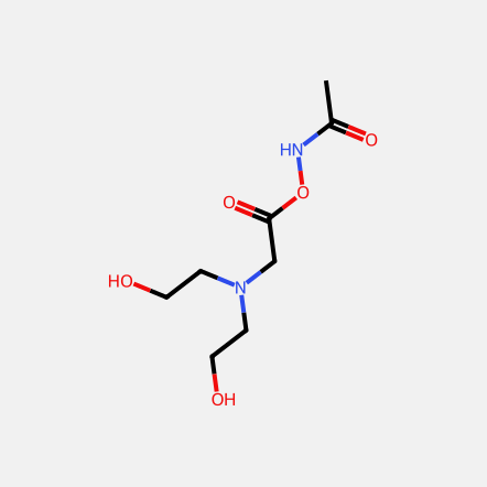 CC(=O)NOC(=O)CN(CCO)CCO